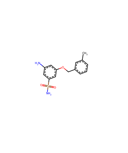 Cc1cccc(COc2cc(N)cc(S(N)(=O)=O)c2)c1